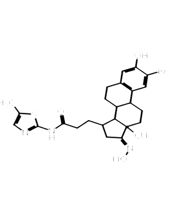 Cc1cnc(NC(=O)CCC2C/C(=N\O)C3(C)CCC4c5cc(Br)c(O)cc5CCC4C23)s1